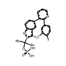 Cc1cc(-c2ncccc2-c2ccc3nn(C(OP(=O)(O)O)(C(C)(C)C)C(C)(C)C)cc3c2)ccc1F